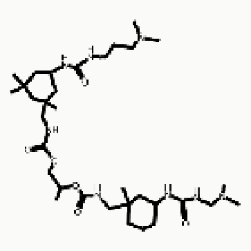 CC(COC(=O)NCC1(C)CC(NC(=O)NCCCN(C)C)CC(C)(C)C1)OC(=O)NCC1(C)CCCC(NC(=O)NCN(C)C)C1